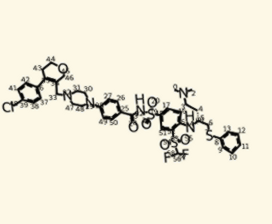 CN(C)CC[C@H](CSc1ccccc1)Nc1ccc(S(=O)(=O)NC(=O)c2ccc(N3CCN(CC4=C(c5ccc(Cl)cc5)CCOC4)CC3)cc2)cc1S(=O)(=O)C(F)F